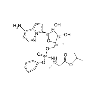 CC(C)OC(=O)C[C@H](C)NP(=O)(OC[C@@]1(C)O[C@@H](c2ccc3c(N)ncnn23)[C@H](O)[C@@H]1O)Oc1ccccc1